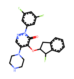 O=c1c(OC2Cc3ccccc3C2F)c(N2CCNCC2)cnn1-c1cc(F)cc(F)c1